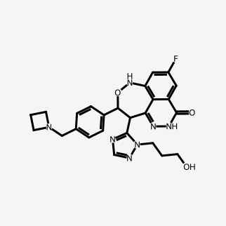 O=c1[nH]nc2c3c(cc(F)cc13)NOC(c1ccc(CN3CCC3)cc1)C2c1ncnn1CCCO